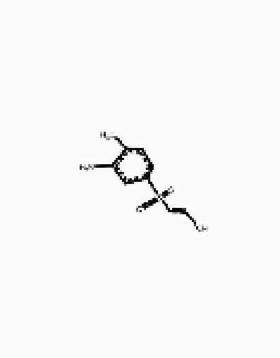 Cc1ccc(S(=O)(=O)/C=C/C#N)cc1N